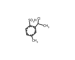 Cc1ccc(S(=O)(=O)O)c(C(C)Cl)c1